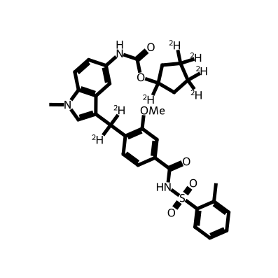 [2H]C1(OC(=O)Nc2ccc3c(c2)c(C([2H])([2H])c2ccc(C(=O)NS(=O)(=O)c4ccccc4C)cc2OC)cn3C)CC([2H])([2H])C([2H])([2H])C1